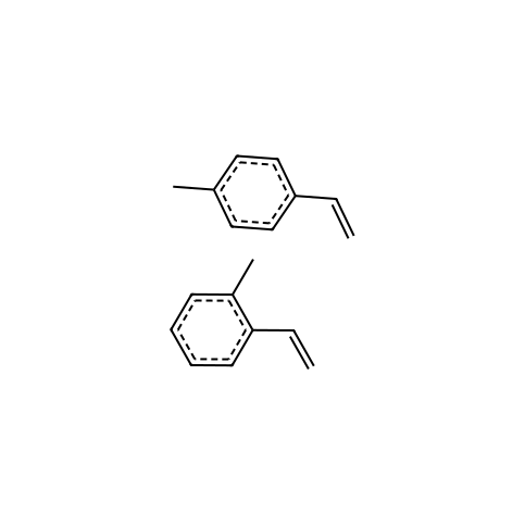 C=Cc1ccc(C)cc1.C=Cc1ccccc1C